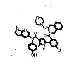 Cc1[nH]c(-c2cc(Cl)ccc2C(=O)N2Cc3ccccc3C[C@H]2CN2CCOCC2)cc1C(=O)N(c1ccc(O)cc1)c1cnc2c(c1)CCN2C